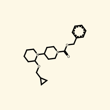 O=C(OCc1ccccc1)N1CCC(N2CCCCC2OCC2CC2)CC1